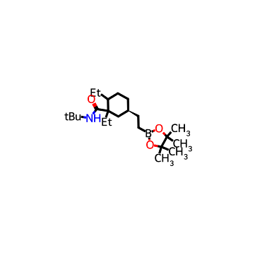 CCC1CC[C@@H](CCB2OC(C)(C)C(C)(C)O2)CC1(CC)C(=O)NC(C)(C)C